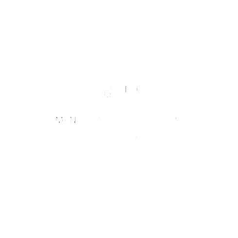 CNC(=O)Cc1ccsc1C